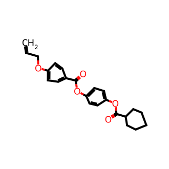 C=CCOc1ccc(C(=O)Oc2ccc(OC(=O)C3CCCCC3)cc2)cc1